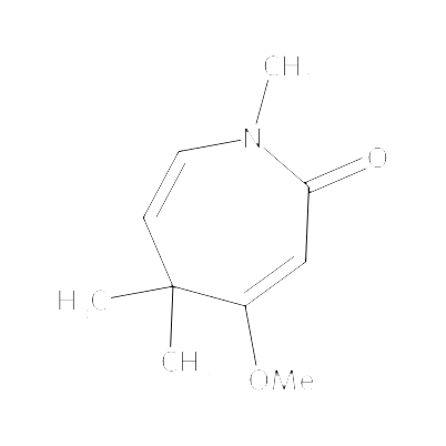 COC1=CC(=O)N(C)C=CC1(C)C